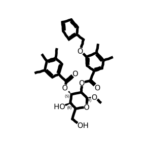 CO[C@@H]1OC(CO)[C@@H](O)[C@H](OC(=O)c2cc(C)c(C)c(C)c2)C1OC(=O)c1cc(C)c(C)c(OCc2ccccc2)c1